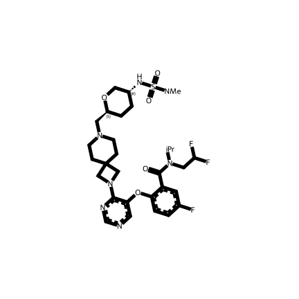 CNS(=O)(=O)N[C@@H]1CC[C@@H](CN2CCC3(CC2)CN(c2ncncc2Oc2ccc(F)cc2C(=O)N(CC(F)F)C(C)C)C3)OC1